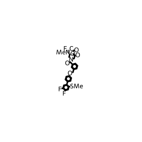 CNCCN(CC(=O)OC(=O)C(F)(F)F)C(=O)c1cccc(COc2ccc(-c3cc(F)c(F)cc3SC)cc2)c1